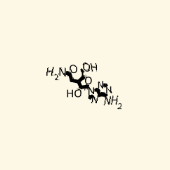 NC(=O)CC1C(O)[C@H](n2cnc3c(N)ncnc32)O[C@@H]1CO